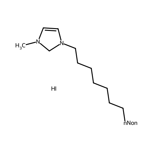 CCCCCCCCCCCCCCCCN1C=CN(C)C1.I